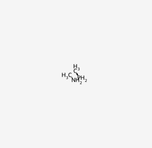 CN.CP